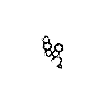 O=C1N(CC2CC2)c2ccccc2C12COc1cc3c(cc12)OCO3